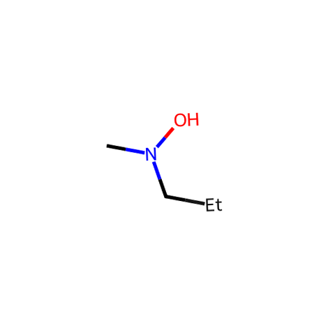 [CH2]CCN(C)O